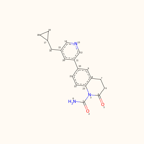 NC(=O)N1C(=O)CCc2cc(-c3cncc([CH]C4CC4)c3)ccc21